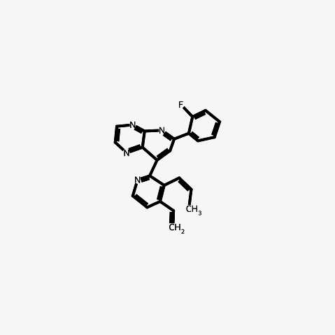 C=Cc1ccnc(-c2cc(-c3ccccc3F)nc3nccnc23)c1/C=C\C